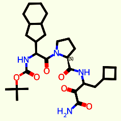 CC(C)(C)OC(=O)NC(C(=O)N1CCC[C@H]1C(=O)NC(CC1CCC1)C(=O)C(N)=O)C1CC2CCCCC2C1